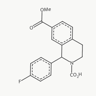 COC(=O)c1ccc2c(c1)C(c1ccc(F)cc1)N(C(=O)O)CC2